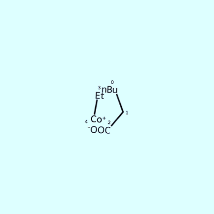 CCCCCC(=O)[O-].C[CH2][Co+]